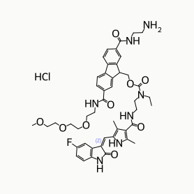 CCN(CCNC(=O)c1c(C)[nH]c(/C=C2\C(=O)Nc3ccc(F)cc32)c1C)C(=O)OCC1c2cc(C(=O)NCCN)ccc2-c2ccc(C(=O)NCCOCCOCCOC)cc21.Cl